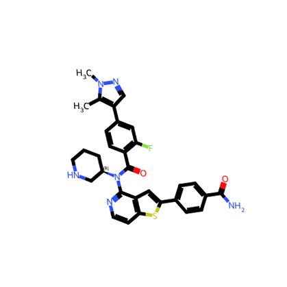 Cc1c(-c2ccc(C(=O)N(c3nccc4sc(-c5ccc(C(N)=O)cc5)cc34)[C@@H]3CCCNC3)c(F)c2)cnn1C